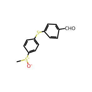 C[S+]([O-])c1ccc(Sc2ccc(C=O)cc2)cc1